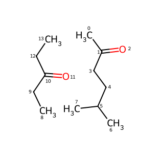 CC(=O)CCC(C)C.CCC(=O)CC